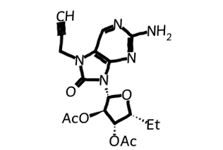 C#CCn1c(=O)n([C@@H]2O[C@H](CC)[C@H](OC(C)=O)[C@H]2OC(C)=O)c2nc(N)ncc21